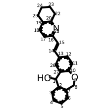 OC1c2ccccc2COc2ccc(/C=C/c3ccc4c(n3)CCCC4)cc21